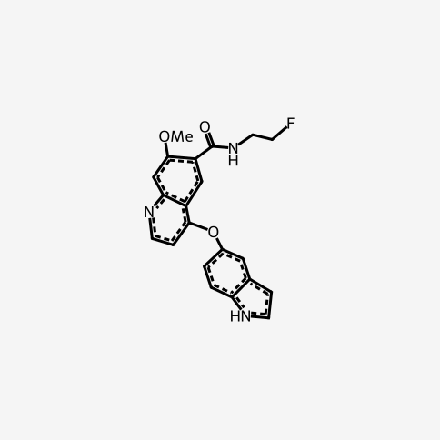 COc1cc2nccc(Oc3ccc4[nH]ccc4c3)c2cc1C(=O)NCCF